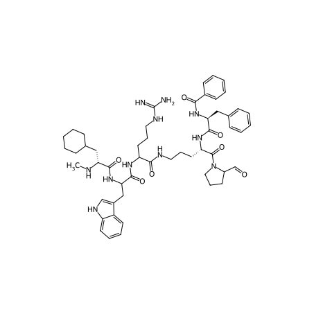 CN[C@H](CC1CCCCC1)C(=O)NC(Cc1c[nH]c2ccccc12)C(=O)NC(CCCNC(=N)N)C(=O)NCCC[C@H](NC(=O)[C@H](Cc1ccccc1)NC(=O)c1ccccc1)C(=O)N1CCCC1C=O